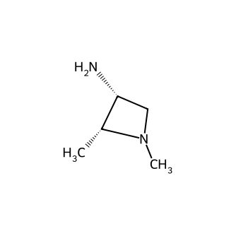 C[C@@H]1[C@H](N)CN1C